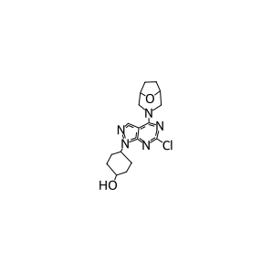 OC1CCC(n2ncc3c(N4CC5CCC(C4)O5)nc(Cl)nc32)CC1